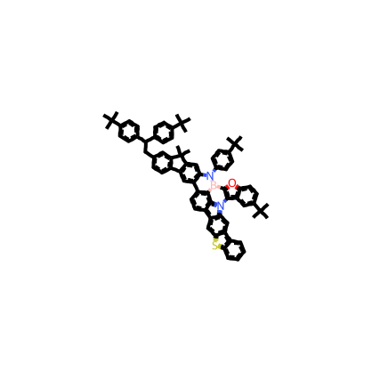 CC(C)(C)c1ccc(C(Cc2ccc3c(c2)C(C)(C)c2cc4c(cc2-3)-c2ccc3c5cc6sc7ccccc7c6cc5n5c3c2B(c2oc3ccc(C(C)(C)C)cc3c2-5)N4c2ccc(C(C)(C)C)cc2)c2ccc(C(C)(C)C)cc2)cc1